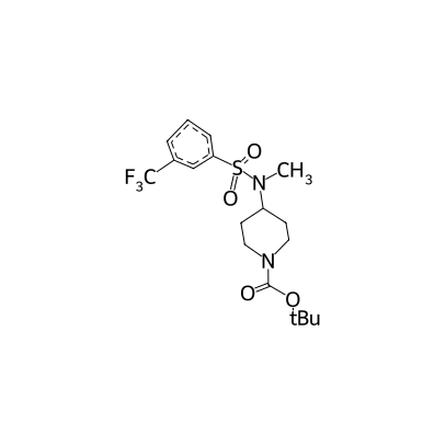 CN(C1CCN(C(=O)OC(C)(C)C)CC1)S(=O)(=O)c1cccc(C(F)(F)F)c1